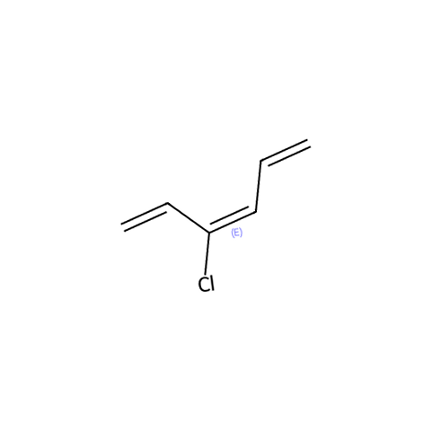 C=C/C=C(/Cl)C=C